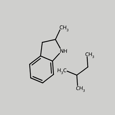 CC1Cc2ccccc2N1.CCC(C)C